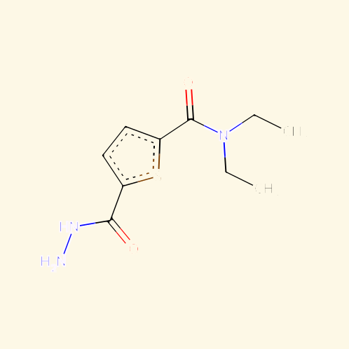 CCN(CC)C(=O)c1ccc(C(=O)NN)s1